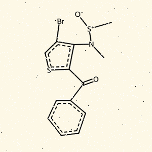 CN(c1c(Br)csc1C(=O)c1ccccc1)[S+](C)[O-]